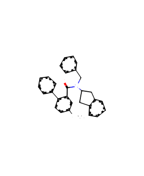 COc1ccc(-c2ccccc2)c(C(=O)N(Cc2ccccc2)C2Cc3ccccc3C2)c1